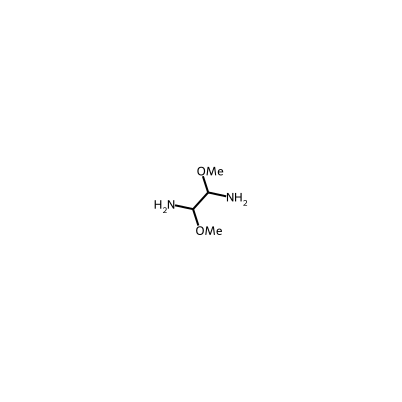 COC(N)C(N)OC